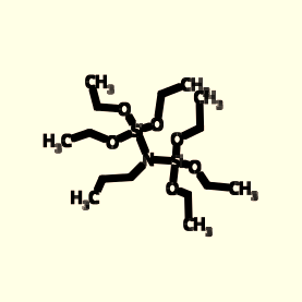 CCCN([Si](OCC)(OCC)OCC)[Si](OCC)(OCC)OCC